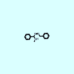 CNC(/N=N\Cc1ccccc1)c1ccccc1